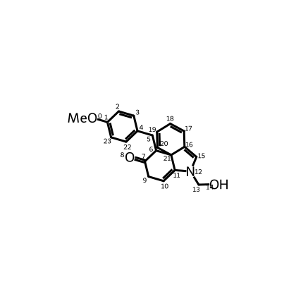 COc1ccc(CC2C(=O)CC=C3N(CO)C=C4C=CC=CC432)cc1